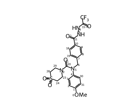 COc1ccc(N(Cc2ccc(C(=O)NNC(=O)C(F)(F)F)cc2)C(=O)N2CCS(=O)(=O)CC2)cc1